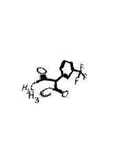 CC(=O)C(C(C)=O)c1cccc(C(F)(F)F)c1